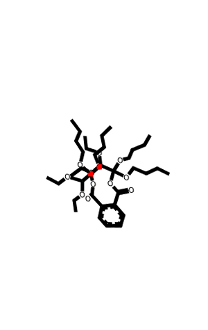 CCCCOC(OCCCC)(OC(=O)c1ccccc1C(=O)OC(OCCCC)(OCCCC)C(OCC)OCC)C(OCC)OCC